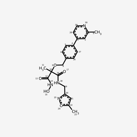 Cc1cc(-c2ccc(COC(C)(C(=O)NO)C(=O)NCc3cc(C)on3)cc2)ccn1